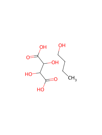 CCCCO.O=C(O)C(O)C(O)C(=O)O